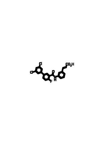 O=C(O)C=Cc1cccc(NC(=O)c2cc(-c3cc(Cl)cc(Cl)c3)ccc2F)c1